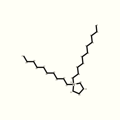 CCCCCCCCCCC[N+]1(CCCCCCCCCC)CCCC1